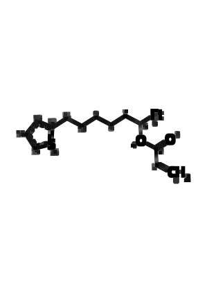 C=CC(=O)OC(CC)CCCCCc1cccs1